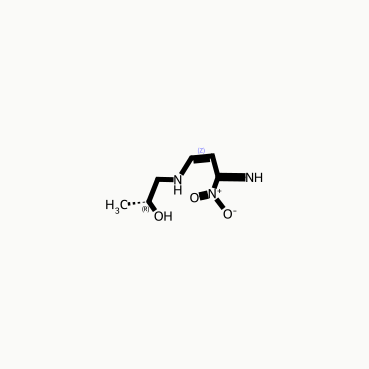 C[C@@H](O)CN/C=C\C(=N)[N+](=O)[O-]